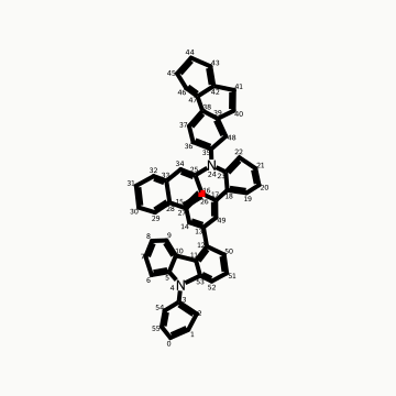 c1ccc(-n2c3ccccc3c3c(-c4cccc(-c5ccccc5N(c5ccc6ccccc6c5)c5ccc6c(ccc7ccccc76)c5)c4)cccc32)cc1